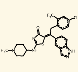 CN1CCC(NC2=NC(=O)C(=C(Cc3ccc(Cl)cc3C(F)(F)F)c3ccc4[nH]ncc4c3)S2)CC1